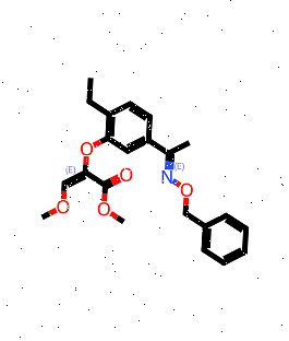 CCc1ccc(/C(C)=N/OCc2ccccc2)cc1O/C(=C/OC)C(=O)OC